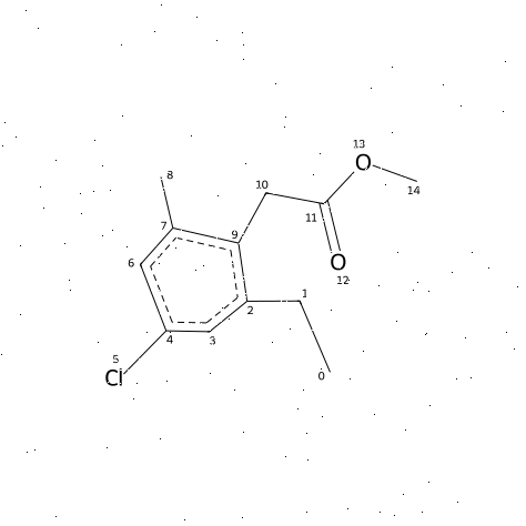 CCc1cc(Cl)cc(C)c1CC(=O)OC